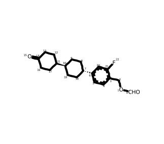 O=COCc1ccc([C@H]2CC[C@H](C3CCC(=O)CC3)CC2)cc1F